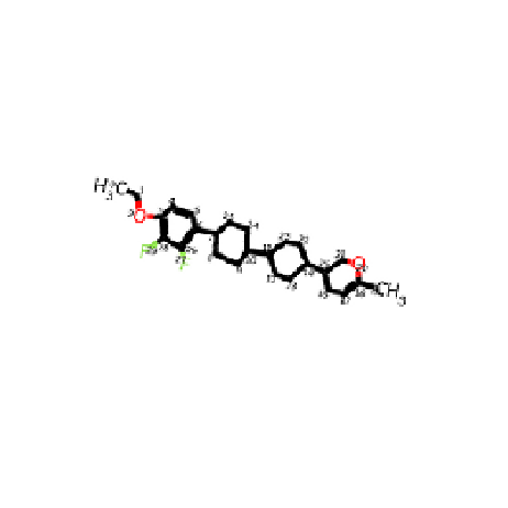 CCOc1ccc(C2CCC(C3CCC(C4CC=C(C)OC4)CC3)CC2)c(F)c1F